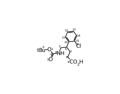 CC(C)(C)OC(=O)NCC(CCC(=O)O)c1ccccc1Cl